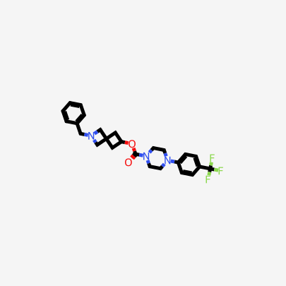 O=C(OC1CC2(C1)CN(Cc1ccccc1)C2)N1CCN(c2ccc(C(F)(F)F)cc2)CC1